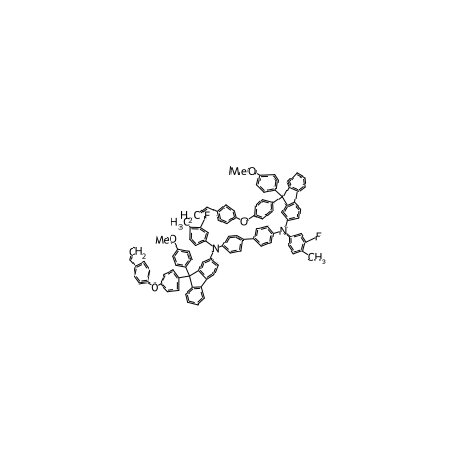 C=Cc1ccc(Oc2ccc(C3(c4ccc(OC)cc4)c4ccccc4-c4ccc(N(c5ccc(-c6ccc(N(c7ccc(C)c(F)c7)c7ccc8c(c7)C(c7ccc(OC)cc7)(c7ccc(Oc9ccc(C=C)cc9)cc7)c7ccccc7-8)cc6)cc5)c5ccc(C)c(F)c5)cc43)cc2)cc1